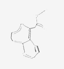 CC(C)NC(=O)c1cccc2ncccc12